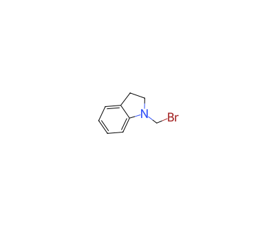 BrCN1CCc2ccccc21